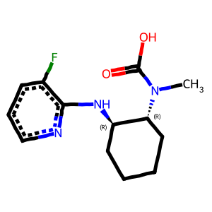 CN(C(=O)O)[C@@H]1CCCC[C@H]1Nc1ncccc1F